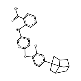 O=C(O)c1ccccc1Nc1cnc(Oc2ccc(C34CC5CC6CC(C3)C54C6)cc2Cl)cn1